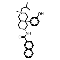 CC(C)C[N@+]1(C)CC[C@]2(c3cccc(O)c3)C[C@H](NC(=O)c3ccc4ccccc4c3)CCC2C1